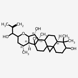 C=C(C)C(O)C1C[C@@H](C)[C@H]2C(O1)[C@H](O)[C@@]1(C)C3CC[C@H]4C(C)(C)C(O)CCC45CC35CCC21C